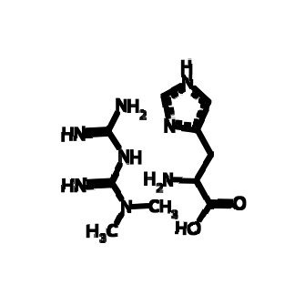 CN(C)C(=N)NC(=N)N.NC(Cc1c[nH]cn1)C(=O)O